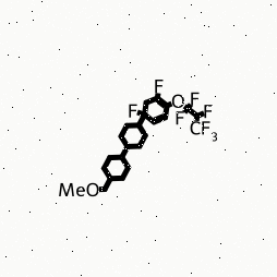 COCC1CCC(C2CCC(C3(F)C=CC(OC(F)(F)C(F)C(F)(F)F)=C(F)C3)CC2)CC1